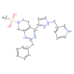 CS(=O)(=O)N1CCc2c(nc(Cc3ccccc3)nc2-c2ccn(Cc3cccnc3)n2)C1